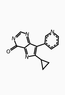 O=C1N=CN=C2C1=NC(C1CC1)=C2c1cccnc1